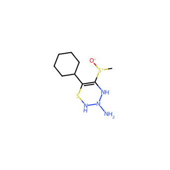 C[S+]([O-])c1[nH]n(N)[nH]sc1C1CCCCC1